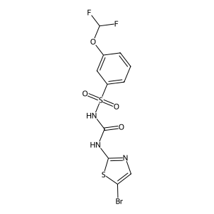 O=C(Nc1ncc(Br)s1)NS(=O)(=O)c1cccc(OC(F)F)c1